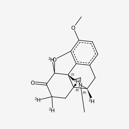 [2H]C1([2H])C[C@@]2([2H])[C@@]3([2H])Cc4ccc(OC)c5c4[C@@]2(CCN3C)C([2H])(O5)C1=O